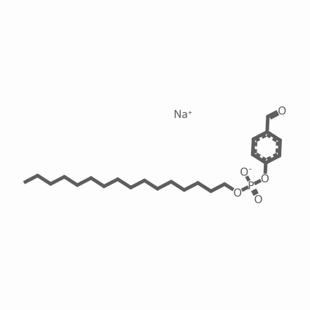 CCCCCCCCCCCCCCCCOP(=O)([O-])Oc1ccc(C=O)cc1.[Na+]